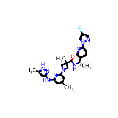 Cc1cc(Nc2cc(C)[nH]n2)nc(N2CC(C)(C(=O)N[C@@H](C)c3ccc(-n4cc(F)cn4)nc3)C2)c1